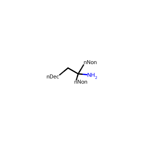 CCCCCCCCCCCC(N)(CCCCCCCCC)CCCCCCCCC